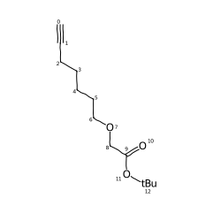 C#CCCCCCOCC(=O)OC(C)(C)C